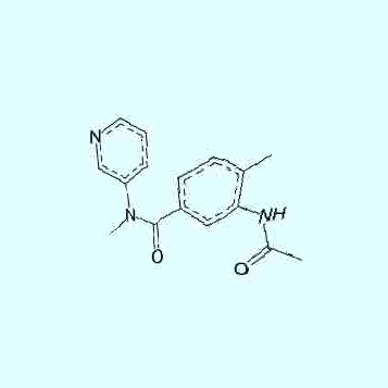 CC(=O)Nc1cc(C(=O)N(C)c2cccnc2)ccc1C